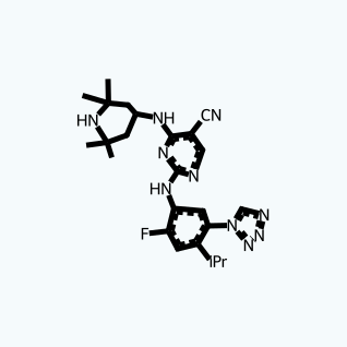 CC(C)c1cc(F)c(Nc2ncc(C#N)c(NC3CC(C)(C)NC(C)(C)C3)n2)cc1-n1cnnn1